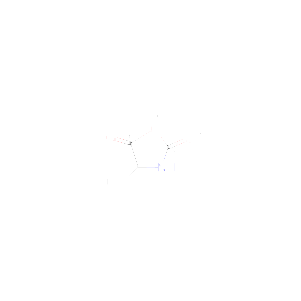 CCCC1NC(=O)OC1=O